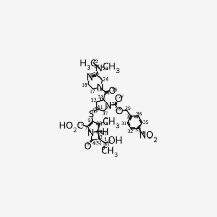 C[C@@H](O)[C@H]1C(=O)N2C(C(=O)O)=C(S[C@H]3C[C@@H](C(=O)N4CCN=C(N(C)C)C4)N(C(=O)OCc4ccc([N+](=O)[O-])cc4)C3)[C@H](C)[C@H]12